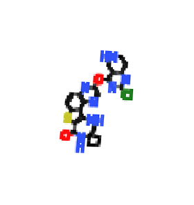 O=C1NC2(CCC2)CNc2c1sc1ccc3nc(Oc4nc(Cl)nc5c4CNCC5)cnc3c21